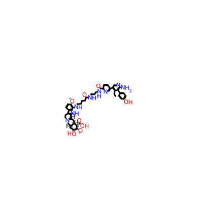 CCc1c(-c2ccc(C(=O)NCCCNC(=O)CCCCNc3c(OC)ccc4c5c([nH]c34)[C@H]3C[C@H]4[C@H](C[C@@H](O)[C@H](OC)[C@H]4C(=O)O)CN3CC5)nc2)cnc(N)c1-c1ccc(O)cc1